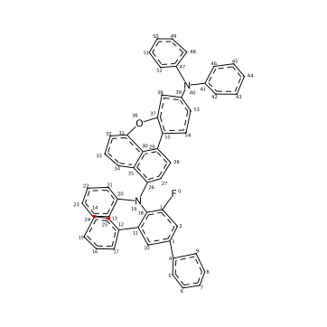 Fc1cc(-c2ccccc2)cc(-c2ccccc2)c1N(c1ccccc1)c1ccc2c3c(cccc13)Oc1cc(N(c3ccccc3)c3ccccc3)ccc1-2